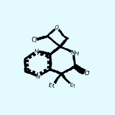 CCC1(CC)C(=O)NC2(COC2Cl)c2nccnc21